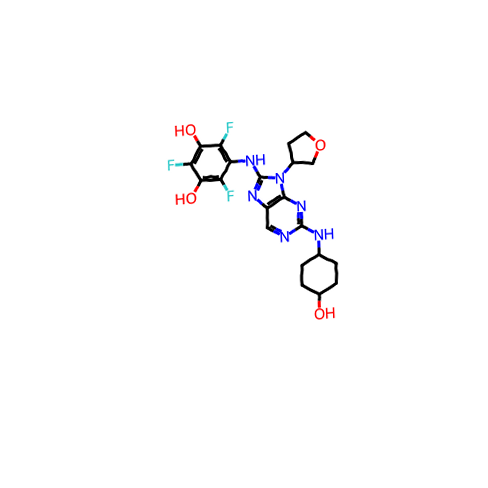 Oc1c(F)c(O)c(F)c(Nc2nc3cnc(NC4CCC(O)CC4)nc3n2C2CCOC2)c1F